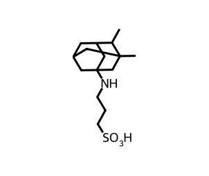 CC1C2CC3CC(NCCCS(=O)(=O)O)(C2)CC1(C)C3